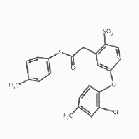 Cc1ccc(SC(=O)Cc2cc(Oc3ccc(C(F)(F)F)cc3Cl)ccc2[N+](=O)[O-])cc1